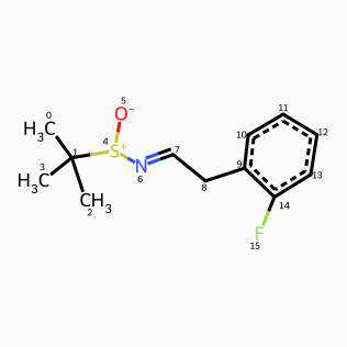 CC(C)(C)[S+]([O-])N=CCc1ccccc1F